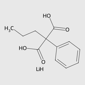 CCCC(C(=O)O)(C(=O)O)c1ccccc1.[LiH]